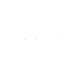 O=C(O)[C@H](NC(Cc1ccccc1)S(=O)(=O)O)c1ccc(O)cc1